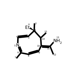 CC[C@]1(C)/C=C/N=C(C)\C=C/C(=C(\C)N)C1C